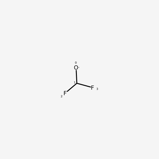 [O]C(F)F